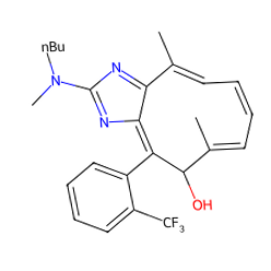 CCCCN(C)C1=N/C2=C(\c3ccccc3C(F)(F)F)C(O)/C(C)=C/C=C\C=C(/C)C2=N1